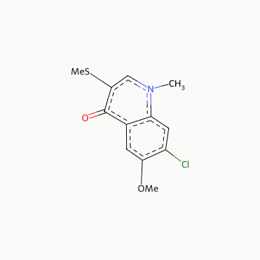 COc1cc2c(=O)c(SC)cn(C)c2cc1Cl